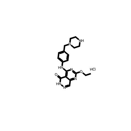 CCOc1nc(Nc2ccc(CN3CCNCC3)cc2)c2c(=O)[nH]ncc2n1.Cl